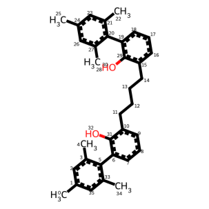 Cc1cc(C)c(-c2cccc(CCCCc3cccc(-c4c(C)cc(C)cc4C)c3O)c2O)c(C)c1